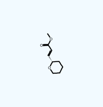 COC(=O)/C=C/[C@@H]1CCCCO1